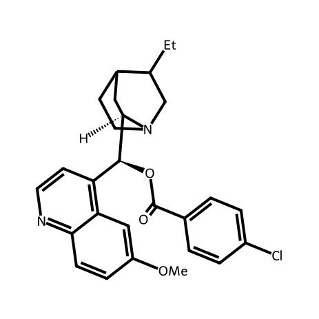 CCC1CN2CCC1C[C@@H]2[C@@H](OC(=O)c1ccc(Cl)cc1)c1ccnc2ccc(OC)cc12